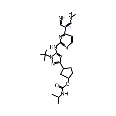 CN/C=C(\C=N)c1ccnc(Nc2cc(C3CCC(OC(=O)NC(C)C)C3)nn2C(C)(C)C)n1